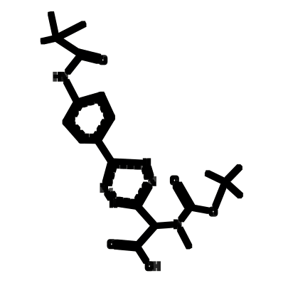 CN(C(=O)OC(C)(C)C)C(C(=O)O)c1nnc(-c2ccc(NC(=O)C(C)(C)C)cc2)nn1